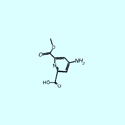 COC(=O)c1cc(N)cc(C(=O)O)n1